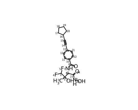 C[C@@](O)(C(F)F)[C@H](NC(=O)c1ccc(C#CC2CCCC2)cc1)C(=O)NO